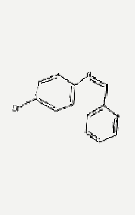 Brc1ccc(/N=C\c2ccccc2)cc1